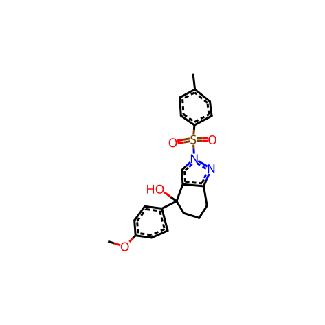 COc1ccc(C2(O)CCCc3nn(S(=O)(=O)c4ccc(C)cc4)cc32)cc1